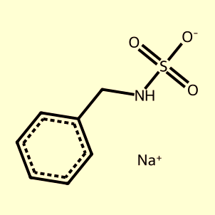 O=S(=O)([O-])NCc1ccccc1.[Na+]